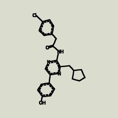 O=C(Cc1ccc(Cl)cc1)Nc1ncc(-c2ccc(O)cc2)nc1CC1CCCC1